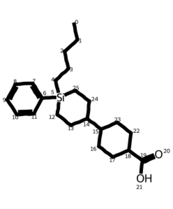 CCCCC[Si]1(c2ccccc2)CCC(C2CCC(C(=O)O)CC2)CC1